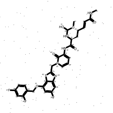 CNC(=O)/C=C/CC[C@H](NC(O)OC)C(=O)Nc1cccn(Cc2nc3cc(F)cc(OCc4ccc(F)cc4F)c3s2)c1=O